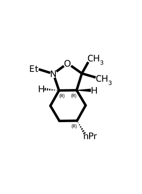 CCC[C@@H]1CC[C@@H]2[C@@H](C1)C(C)(C)ON2CC